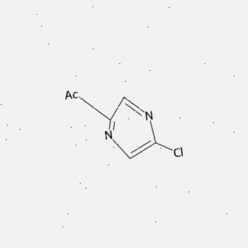 CC(=O)c1cnc(Cl)cn1